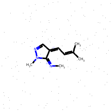 C/N=C1\C(=C/C=C(C)C)C=NN1C